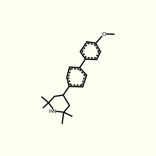 COc1ccc(-c2ccc(C3CC(C)(C)NC(C)(C)C3)cc2)cc1